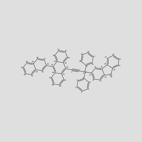 C(#C[Si](c1ccccc1)(c1ccccc1)c1ccc2oc3ccccc3c2c1)c1c2ccccc2c(-c2ccc3ccccc3c2)c2ccccc12